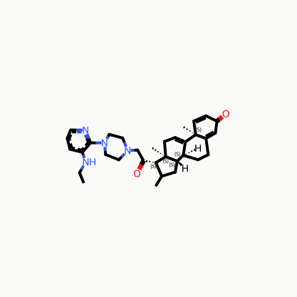 CCNc1cccnc1N1CCN(CC(=O)[C@H]2C(C)C[C@H]3[C@@H]4CCC5=CC(=O)C=C[C@]5(C)C4=CC[C@]23C)CC1